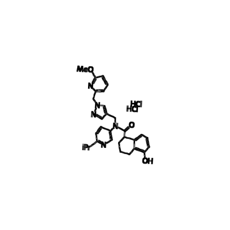 COc1cccc(Cn2cc(CN(C(=O)C3CCCc4c(O)cccc43)c3ccc(C(C)C)nc3)cn2)n1.Cl.Cl